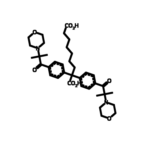 CC(C)(C(=O)c1ccc(C(CCCCCCC(=O)O)(C(=O)O)c2ccc(C(=O)C(C)(C)N3CCOCC3)cc2)cc1)N1CCOCC1